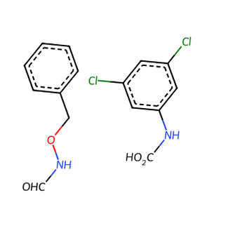 O=C(O)Nc1cc(Cl)cc(Cl)c1.O=CNOCc1ccccc1